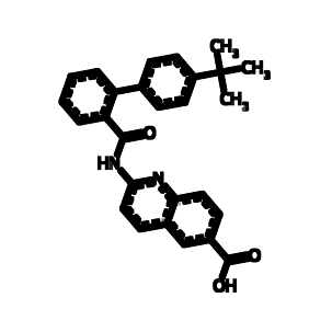 CC(C)(C)c1ccc(-c2ccccc2C(=O)Nc2ccc3cc(C(=O)O)ccc3n2)cc1